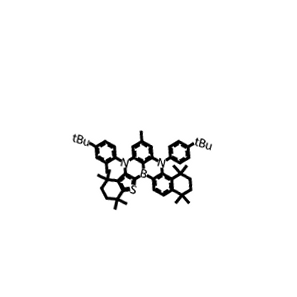 Cc1cc2c3c(c1)N(c1ccc(C(C)(C)C)cc1C)c1c(sc4c1C(C)(C)CCC4(C)C)B3c1ccc3c(c1N2c1ccc(C(C)(C)C)cc1)C(C)(C)CCC3(C)C